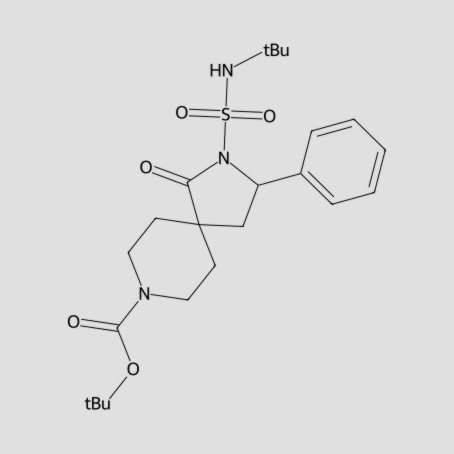 CC(C)(C)NS(=O)(=O)N1C(=O)C2(CCN(C(=O)OC(C)(C)C)CC2)CC1c1ccccc1